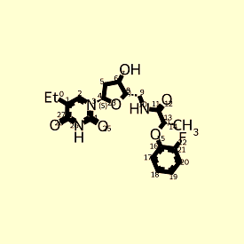 CCc1cn([C@@H]2CC(O)[C@H](CNC(=O)[C@H](C)Oc3ccccc3F)O2)c(=O)[nH]c1=O